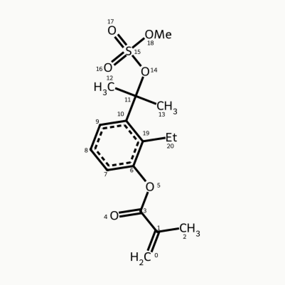 C=C(C)C(=O)Oc1cccc(C(C)(C)OS(=O)(=O)OC)c1CC